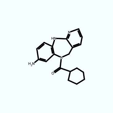 Nc1ccc2c(c1)N(C(=O)C1CCCCC1)Cc1cccnc1N2